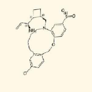 C=C[C@H](N)[C@@H]1CC[C@H]1CN1CCCCc2cc(Cl)ccc2COc2ccc([SH](=O)=O)cc21